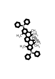 C=C1c2cc(N(c3ccccc3)c3ccccc3)cc(C)c2-c2ccc3c(c2C1(C)C)C(C)(C)C(C)(C)c1cc(N(c2ccccc2)c2ccccc2)cc(C)c1-3